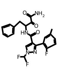 Cc1ccc(F)c(-c2nn(C(F)F)cc2C(=O)NC(Cc2ccccc2)C(=O)C(N)=O)c1